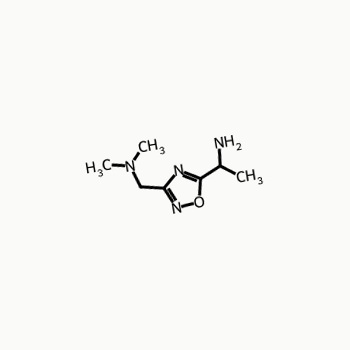 CC(N)c1nc(CN(C)C)no1